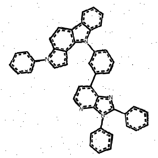 c1ccc(-c2nc3c(-c4cccc(-n5c6ccccc6c6ccc7c(ccn7-c7ccccc7)c65)c4)ccnc3n2-c2ccccc2)cc1